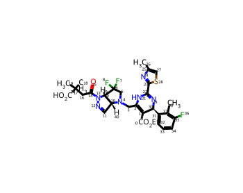 CCOC(=O)C1=C(CN2CC(F)(F)[C@@H]3[C@H]2C=NN3C(=O)CC(C)(C)C(=O)O)NC(c2nc(C)cs2)=N[C@H]1c1cccc(F)c1C